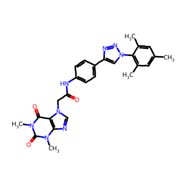 Cc1cc(C)c(-n2cc(-c3ccc(NC(=O)Cn4cnc5c4c(=O)n(C)c(=O)n5C)cc3)nn2)c(C)c1